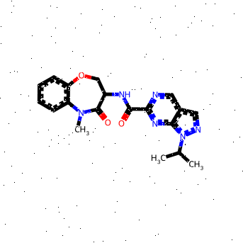 CC(C)n1ncc2cnc(C(=O)NC3COc4ccccc4N(C)C3=O)nc21